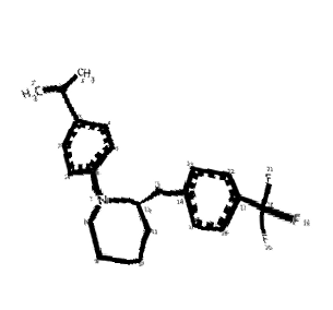 CC(C)c1ccc(N2CC[CH]C[C@@H]2Cc2ccc(C(F)(F)F)cc2)cc1